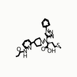 CCC(=O)Nc1cccc(C2CCN(N(c3cn(-c4ccccc4)nn3)[C@@H](CCSC)C(=O)O)CC2)n1